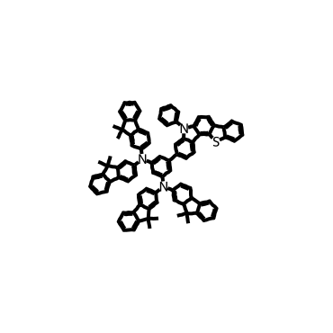 CC1(C)c2ccccc2-c2ccc(N(C3=CC4C(C=C3)c3ccccc3C4(C)C)c3cc(-c4ccc5c6c7sc8ccccc8c7ccc6n(-c6ccccc6)c5c4)cc(N(c4ccc5c(c4)C(C)(C)c4ccccc4-5)c4ccc5c(c4)C(C)(C)c4ccccc4-5)c3)cc21